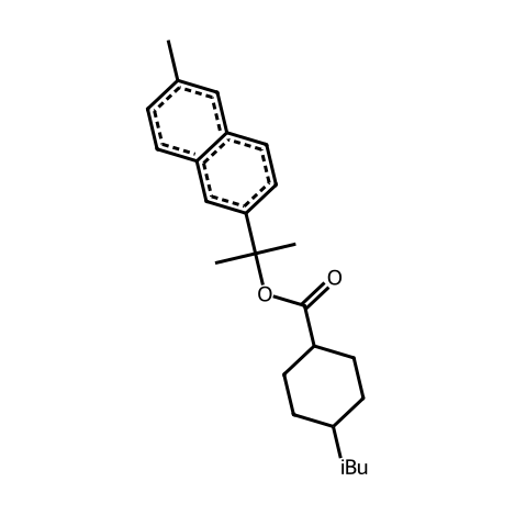 CCC(C)C1CCC(C(=O)OC(C)(C)c2ccc3cc(C)ccc3c2)CC1